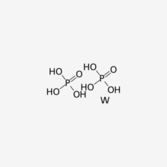 O=P(O)(O)O.O=P(O)(O)O.[W]